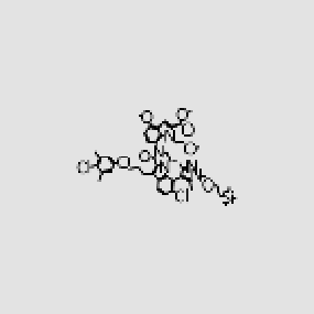 COCCn1c(C(=O)OC)cc2c(OC)ccc(N3C[C@@H](C)n4c(c(CCCOc5cc(C)c(Cl)c(C)c5)c5ccc(Cl)c(-c6c(C)nn(COCC[Si](C)(C)C)c6C)c54)C3=O)c21